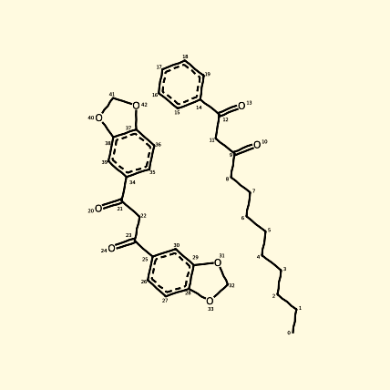 CCCCCCCCCC(=O)CC(=O)c1ccccc1.O=C(CC(=O)c1ccc2c(c1)OCO2)c1ccc2c(c1)OCO2